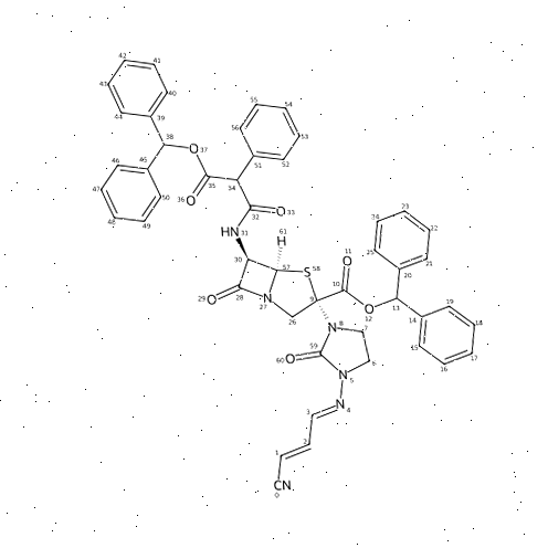 N#CC=CC=NN1CCN([C@]2(C(=O)OC(c3ccccc3)c3ccccc3)CN3C(=O)[C@@H](NC(=O)C(C(=O)OC(c4ccccc4)c4ccccc4)c4ccccc4)[C@H]3S2)C1=O